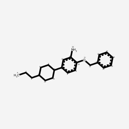 CCCC1CCC(c2ccc(OCc3ccccc3)c(N)c2)CC1